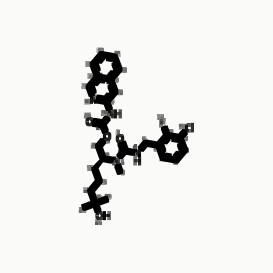 CN(C(=O)NCc1cccc(Cl)c1F)[C@@H](CCCC(C)(C)O)COC(=O)Nc1cc2ccccc2cn1